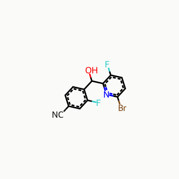 N#Cc1ccc(C(O)c2nc(Br)ccc2F)c(F)c1